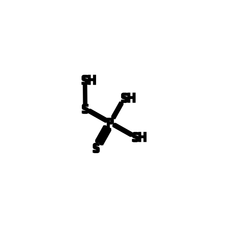 S=P(S)(S)SS